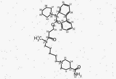 CN(CCCCCN1CCC(C(N)=O)CC1)C(=O)CCOC(=O)N(c1ccccc1-c1ccccc1)N1CC[CH]CC1